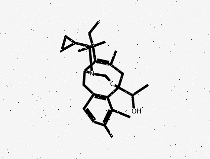 CCC(C)(C)/C1=C(\C)CC2(C(C)O)CCN(CC3CC3)C1Cc1ccc(C)c(C)c12